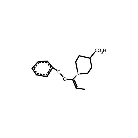 CC=C(OCc1ccccc1)N1CCC(C(=O)O)CC1